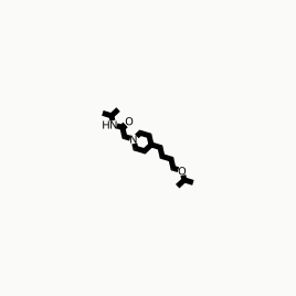 CC(C)NC(=O)CN1CCC(CCCCOC(C)C)CC1